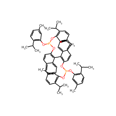 Cc1ccc(C(C)C)c(OP(Oc2cc(C)ccc2C(C)C)Oc2ccc3ccccc3c2-c2c(OP(Oc3cc(C)ccc3C(C)C)Oc3cc(C)ccc3C(C)C)ccc3ccccc23)c1